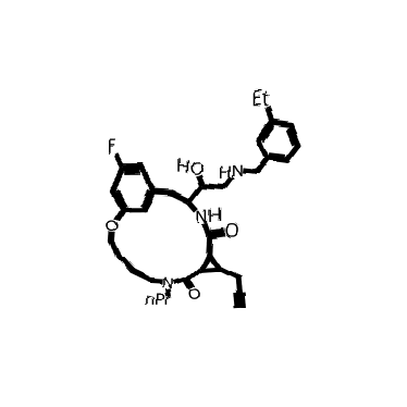 C#CCC1C2C(=O)NC(C(O)CNCc3cccc(CC)c3)Cc3cc(F)cc(c3)OCCCCN(CCC)C(=O)C12